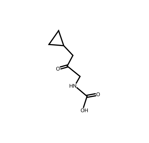 O=C(CNC(=O)O)CC1CC1